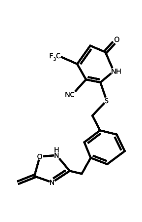 C=C1N=C(Cc2cccc(CSc3[nH]c(=O)cc(C(F)(F)F)c3C#N)c2)NO1